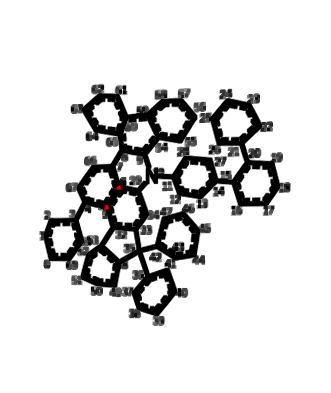 c1ccc(-c2ccc(-c3c(N(c4ccc(-c5ccccc5-c5ccccc5)cc4)c4ccc5c(c4)C(c4ccccc4)(c4ccccc4)c4ccccc4-5)c4ccccc4c4ccccc34)cc2)cc1